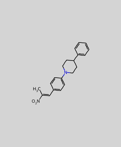 CC(=Cc1ccc(N2CCC(c3ccccc3)CC2)cc1)[N+](=O)[O-]